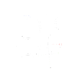 Nc1cccc2c1-c1ccccc1C2(O)C(F)(F)F